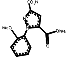 COC(=O)c1cc(C(=O)O)nn1-c1ccccc1OC